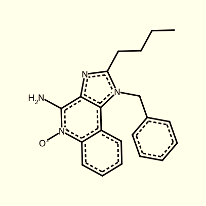 CCCCc1nc2c(N)[n+]([O-])c3ccccc3c2n1Cc1ccccc1